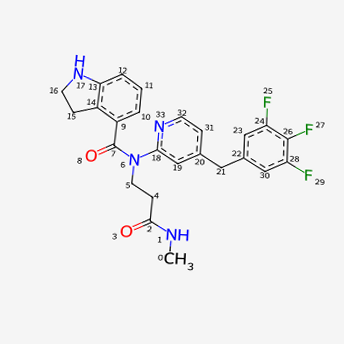 CNC(=O)CCN(C(=O)c1cccc2c1CCN2)c1cc(Cc2cc(F)c(F)c(F)c2)ccn1